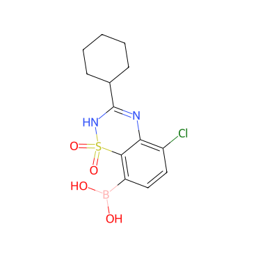 O=S1(=O)NC(C2CCCCC2)=Nc2c(Cl)ccc(B(O)O)c21